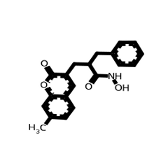 Cc1ccc2cc(CC(Cc3ccccc3)C(=O)NO)c(=O)oc2c1